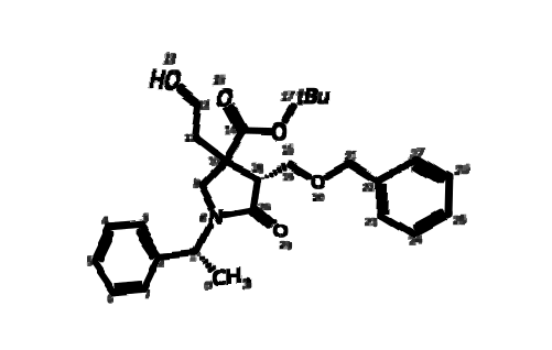 C[C@H](c1ccccc1)N1CC(CCO)(C(=O)OC(C)(C)C)[C@H](COCc2ccccc2)C1=O